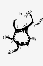 Cc1c([C@@H](C)N)ccc(Br)c1Cl